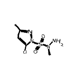 Cc1cc(Cl)n(S(=O)(=O)N(C)N)n1